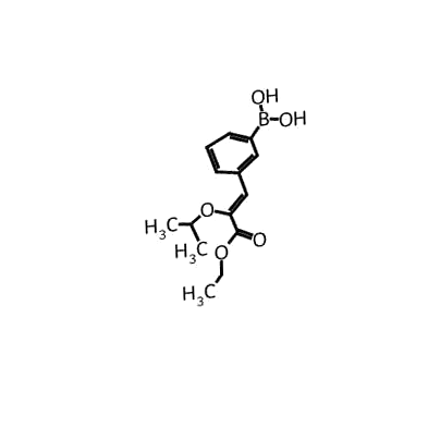 CCOC(=O)/C(=C/c1cccc(B(O)O)c1)OC(C)C